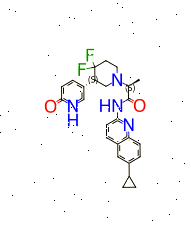 C[C@@H](C(=O)Nc1ccc2cc(C3CC3)ccc2n1)N1CCC(F)(F)[C@@H](c2ccc(=O)[nH]c2)C1